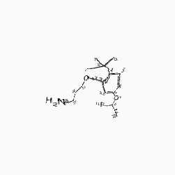 CC(C)(C)c1ccc(OC(F)F)cc1OCCCN